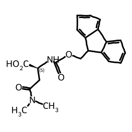 CN(C)C(=O)C[C@H](NC(=O)OCC1c2ccccc2-c2ccccc21)C(=O)O